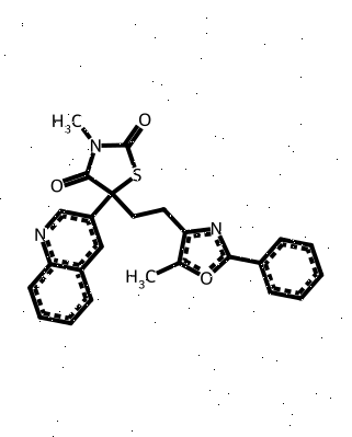 Cc1oc(-c2ccccc2)nc1CCC1(c2cnc3ccccc3c2)SC(=O)N(C)C1=O